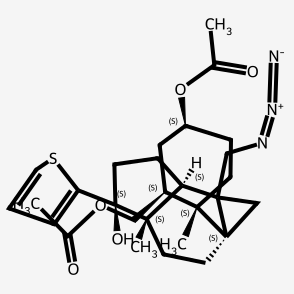 CC(=O)OC[C@H]1C[C@@H](OC(C)=O)CC[C@]1(C)[C@@]12CC[C@@]3(C)[C@@H](CC[C@@]3(O)c3cccs3)C1(CN=[N+]=[N-])C2